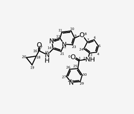 O=C(Nc1cccc(Oc2ccc3nc(NC(=O)C4CC4)cn3c2)c1)c1ccncc1